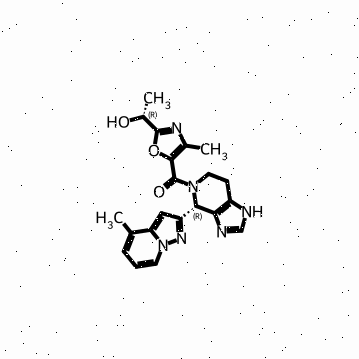 Cc1nc([C@@H](C)O)oc1C(=O)N1CCc2[nH]cnc2[C@@H]1c1cc2c(C)cccn2n1